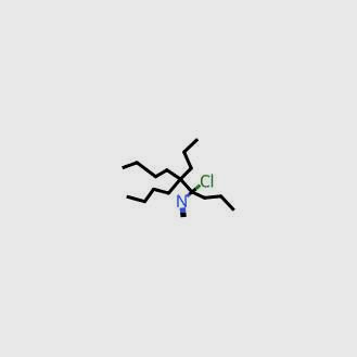 C=NC(Cl)(CCC)C(CCC)(CCCC)CCCC